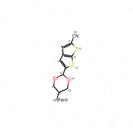 CCCCCC1COC(c2cc3cc(C#N)sc3s2)OC1